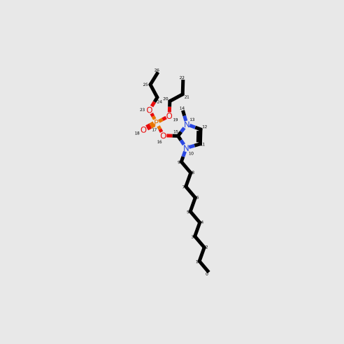 CCCCCCCCCCN1C=CN(C)C1OP(=O)(OCCC)OCCC